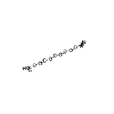 [N-]=[N+]=NCCOCCOCCOCCOCCOCCOCCOCCOCCOCCC(=O)O